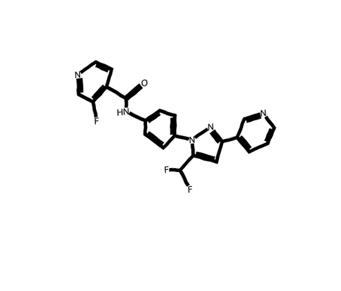 O=C(Nc1ccc(-n2nc(-c3cccnc3)cc2C(F)F)cc1)c1ccncc1F